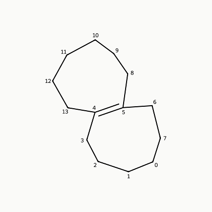 C1CCCC2=C(CC1)CCCCCC2